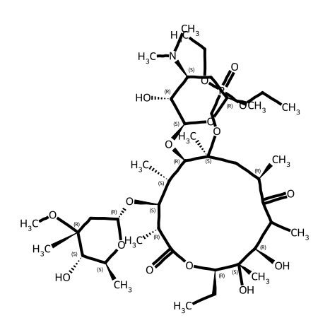 CCOP(=O)(CO[C@@]1(C)C[C@@H](C)C(=O)C(C)[C@@H](O)[C@](C)(O)[C@@H](CC)OC(=O)[C@H](C)[C@@H](O[C@H]2C[C@@](C)(OC)[C@@H](O)[C@H](C)O2)[C@H](C)[C@H]1O[C@@H]1O[C@H](C)C[C@H](N(C)C)[C@H]1O)OCC